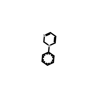 [c]1ccccc1N1C=CC=NC1